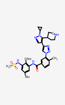 COc1c(NC(=O)c2ccc(C)c(-n3cc(-c4cnn(C5CC5)c4C4CCNCC4)nn3)c2)cc(C(C)(C)C)cc1NS(C)(=O)=O